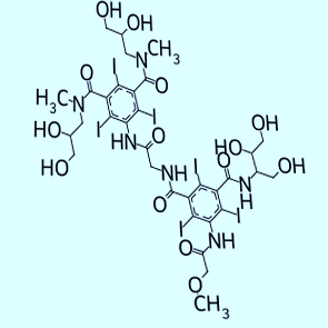 COCC(=O)Nc1c(I)c(C(=O)NCC(=O)Nc2c(I)c(C(=O)N(C)CC(O)CO)c(I)c(C(=O)N(C)CC(O)CO)c2I)c(I)c(C(=O)NC(CO)C(O)CO)c1I